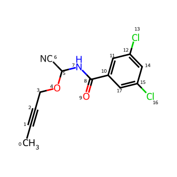 CC#CCOC(C#N)NC(=O)c1cc(Cl)cc(Cl)c1